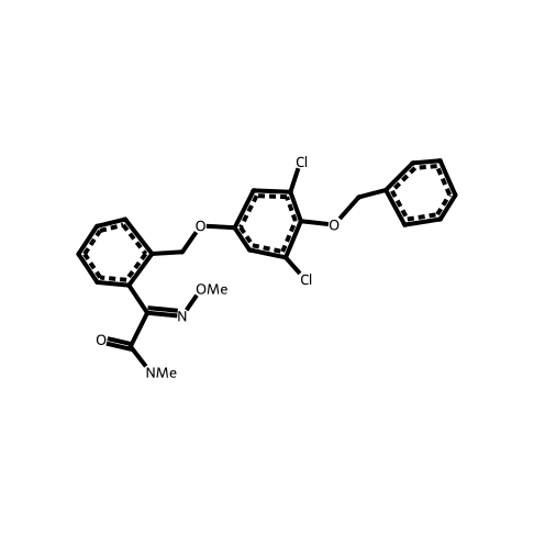 CNC(=O)/C(=N/OC)c1ccccc1COc1cc(Cl)c(OCc2ccccc2)c(Cl)c1